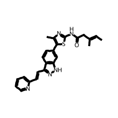 C/C=C(\C)CC(=O)Nc1nc(C)c(-c2ccc3c(/C=C/c4ccccn4)n[nH]c3c2)s1